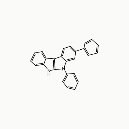 c1ccc(-c2ccc3c4c5ccccc5[nH]c4n(-c4ccccc4)c3c2)cc1